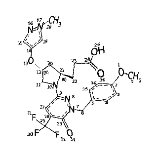 COc1ccc(Cn2nc(N3C[C@H](Oc4cnn(C)c4)C[C@H]3CCC(=O)O)cc(C(F)(F)F)c2=O)cc1